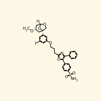 CO[C@@H]1C[C@@H]2OC[C@@](c3cc(F)cc(OCCCc4nc(-c5ccccc5)c(-c5ccc(S(N)(=O)=O)cc5)o4)c3)(C1)O2